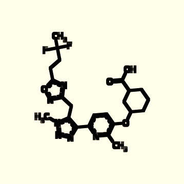 Cc1nc(-c2nnn(C)c2Cc2noc(CCC(C)(F)F)n2)ccc1OC1CCCC(C(=O)O)C1